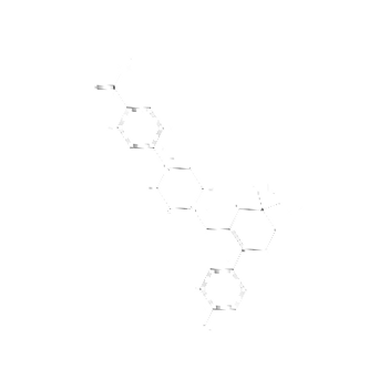 CC1(C)CCC(c2ccc(Cl)cc2)=C(CN2CCN(c3ccc(C(=O)O)cc3)CC2)C1